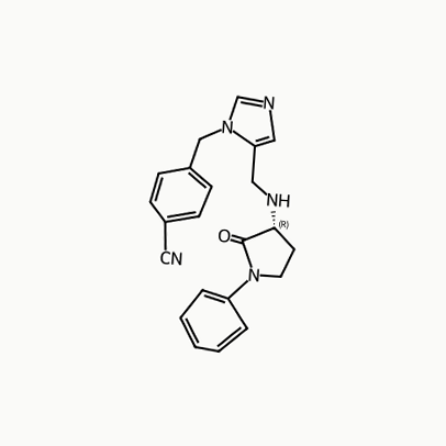 N#Cc1ccc(Cn2cncc2CN[C@@H]2CCN(c3ccccc3)C2=O)cc1